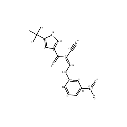 CC(C)(C)c1cc(C(=O)C(C#N)=NNc2cccc([N+](=O)[O-])c2)no1